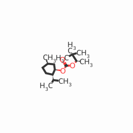 CC(C)[C@@H]1CC[C@@H](C)C[C@H]1OC(=O)O[C@@H](C)C(C)(C)C